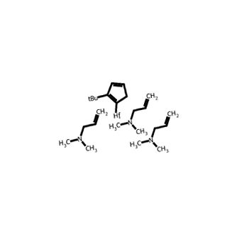 C=CCN(C)C.C=CCN(C)C.C=CCN(C)C.CC(C)(C)C1=[C]([Hf])CC=C1